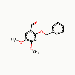 COc1cc(C=O)c(OCc2ccccc2)cc1OC